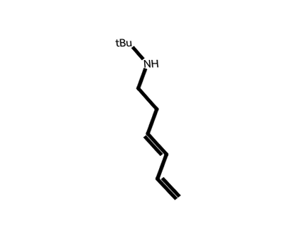 C=CC=CCCNC(C)(C)C